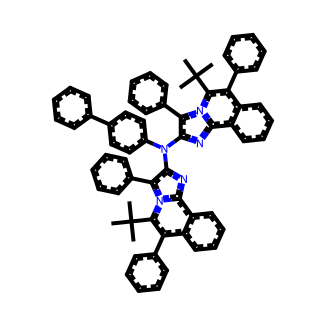 CC(C)(C)c1c(-c2ccccc2)c2ccccc2c2nc(N(c3ccc(-c4ccccc4)cc3)c3nc4c5ccccc5c(-c5ccccc5)c(C(C)(C)C)n4c3-c3ccccc3)c(-c3ccccc3)n12